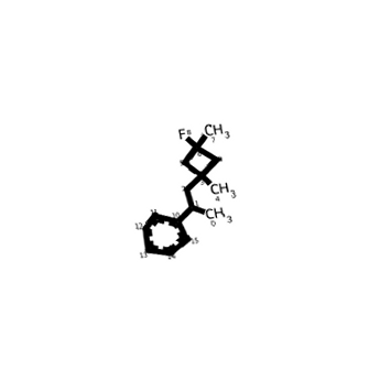 CC(CC1(C)CC(C)(F)C1)c1ccccc1